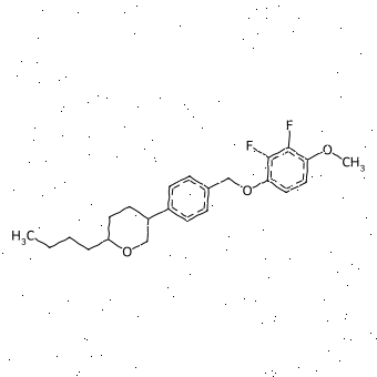 CCCCC1CCC(c2ccc(COc3ccc(OC)c(F)c3F)cc2)CO1